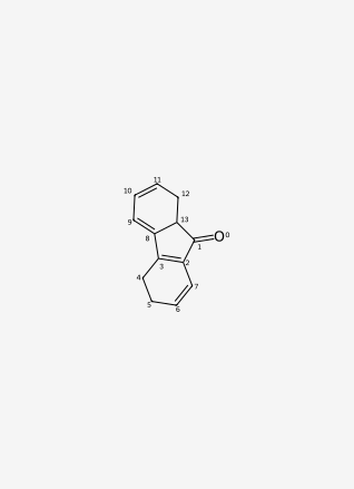 O=C1C2=C(CCC=C2)C2=CC=CCC12